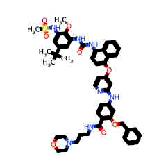 COc1c(NC(=O)Nc2ccc(Oc3ccnc(Nc4ccc(C(=O)NCCCN5CCOCC5)c(OCc5ccccc5)c4)c3)c3ccccc23)cc(C(C)(C)C)cc1NS(C)(=O)=O